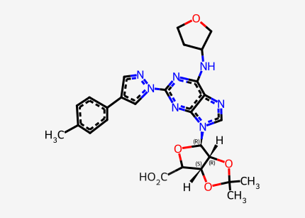 Cc1ccc(-c2cnn(-c3nc(NC4CCOC4)c4ncn([C@@H]5OC(C(=O)O)[C@H]6OC(C)(C)O[C@H]65)c4n3)c2)cc1